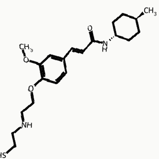 COc1cc(C=CC(=O)N[C@H]2CC[C@H](C)CC2)ccc1OCCNCCS